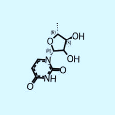 C[C@H]1O[C@@H](n2ccc(=O)[nH]c2=O)C(O)[C@@H]1O